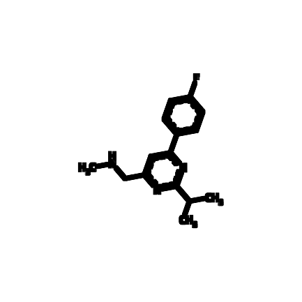 CNCc1cc(-c2ccc(F)cc2)nc(C(C)C)n1